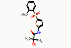 COc1ccccc1S(=O)(=O)c1ccc(NC(=O)C(C)(C)O)s1